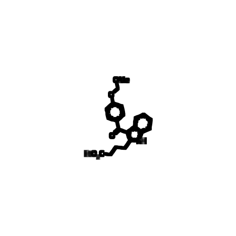 CCOC(=O)CCCc1[nH]c2ccccc2c1C(=O)c1ccc(OCOC)cc1